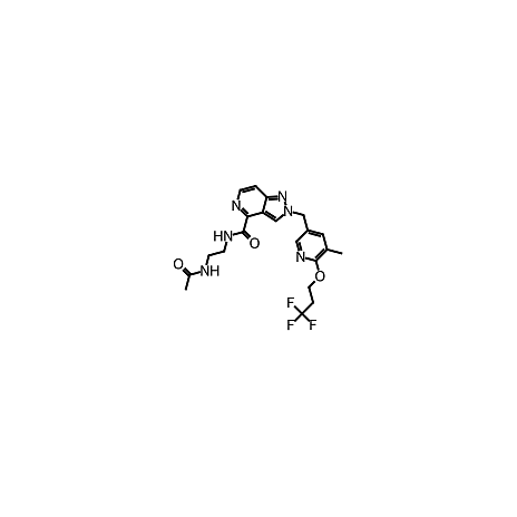 CC(=O)NCCNC(=O)c1nccc2nn(Cc3cnc(OCCC(F)(F)F)c(C)c3)cc12